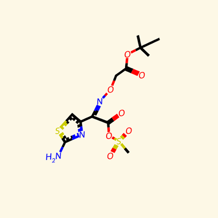 CC(C)(C)OC(=O)CON=C(C(=O)OS(C)(=O)=O)c1csc(N)n1